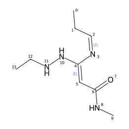 CC/C=N\C(=C/C(=O)NC)NNCC